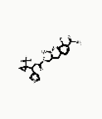 CN(C)C(CNC(=O)CC(c1ccsc1)C1(C(F)(F)F)CC1)Cc1ccc(C(N)=O)c(F)c1